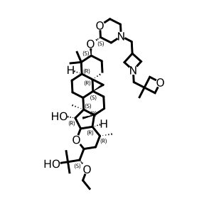 CCO[C@@H](C1C[C@@H](C)[C@H]2C(O1)[C@H](O)[C@@]1(C)C3CC[C@H]4C(C)(C)[C@@H](O[C@H]5CN(CC6CN(CC7(C)COC7)C6)CCO5)CC[C@@]45C[C@@]35CC[C@]21C)C(C)(C)O